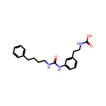 O=C(O)NCCc1cccc(NC(=O)NCCCCc2ccccc2)c1